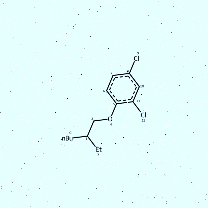 CCCCC(CC)COc1[c]cc(Cl)cc1Cl